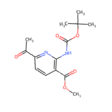 COC(=O)c1ccc(C(C)=O)nc1NC(=O)OC(C)(C)C